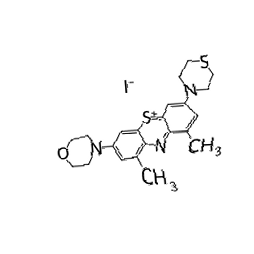 Cc1cc(N2CCOCC2)cc2[s+]c3cc(N4CCSCC4)cc(C)c3nc12.[I-]